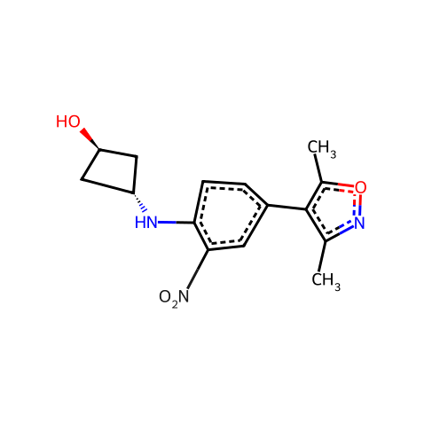 Cc1noc(C)c1-c1ccc(N[C@H]2C[C@H](O)C2)c([N+](=O)[O-])c1